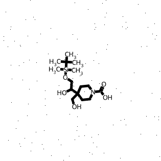 CC(C)(C)[Si](C)(C)OCC(O)C1(CO)CCN(C(=O)O)CC1